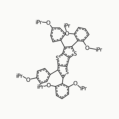 CC(C)Oc1ccc(-c2c(-c3c(OC(C)C)cccc3OC(C)C)sc3c2sc2c(-c4ccc(OC(C)C)cc4)c(-c4c(OC(C)C)cccc4OC(C)C)sc23)cc1